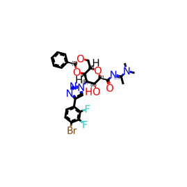 C/C(=N\C(=O)[C@@H]1O[C@@H]2CO[C@H](c3ccccc3)O[C@@H]2[C@H](n2cc(-c3ccc(Br)c(F)c3F)nn2)[C@H]1O)N(C)C